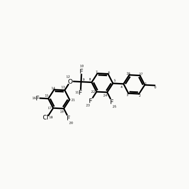 Cc1ccc(-c2ccc(C(F)(F)Oc3cc(F)c(Cl)c(F)c3)c(F)c2F)cc1